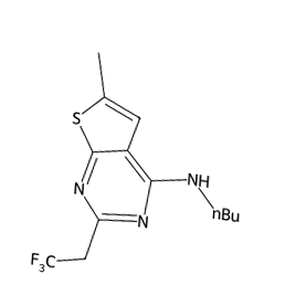 CCCCNc1nc(CC(F)(F)F)nc2sc(C)cc12